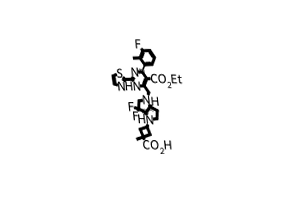 CCOC(=O)C1=C(CN2CC(F)(F)[C@H]3[C@@H]2CCN3C2CC(C)(C(=O)O)C2)NC(c2nccs2)=N[C@H]1c1cccc(F)c1C